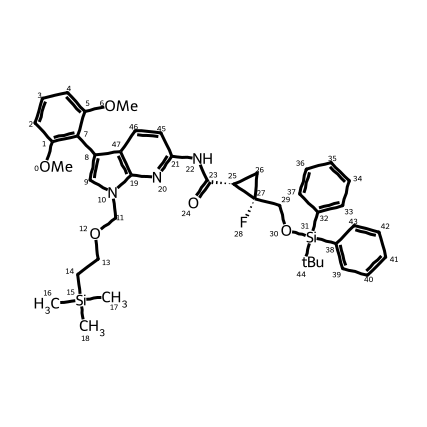 COc1cccc(OC)c1-c1cn(COCC[Si](C)(C)C)c2nc(NC(=O)[C@@H]3C[C@@]3(F)CO[Si](c3ccccc3)(c3ccccc3)C(C)(C)C)ccc12